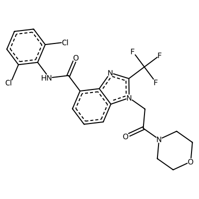 O=C(Nc1c(Cl)cccc1Cl)c1cccc2c1nc(C(F)(F)F)n2CC(=O)N1CCOCC1